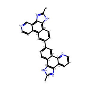 Cc1nc2c3cnccc3c3cc(-c4ccc5c(c4)c4ncccc4c4nc(C)[nH]c54)ccc3c2[nH]1